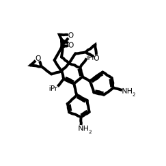 CC(C)C1=C(c2ccc(N)cc2)C(c2ccc(N)cc2)=C(C(C)C)C(CC2CO2)(CC2CO2)C1(CC1CO1)CC1CO1